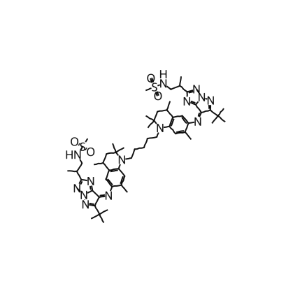 Cc1cc2c(cc1/N=C1/C(C(C)(C)C)=Nn3nc(C(C)CNS(C)(=O)=O)nc31)C(C)CC(C)(C)N2CCCCCN1c2cc(C)c(/N=C3/C(C(C)(C)C)=Nn4nc(C(C)CNS(C)(=O)=O)nc43)cc2C(C)CC1(C)C